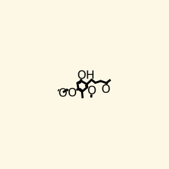 COCOc1cc(O)c(CCCC(C)=O)c(OC)c1C